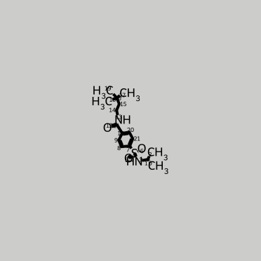 CC(C)NS(=O)(=O)c1ccc(C(=O)NCCC(C)(C)C)cc1